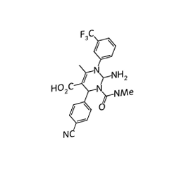 CNC(=O)N1C(c2ccc(C#N)cc2)C(C(=O)O)=C(C)N(c2cccc(C(F)(F)F)c2)C1N